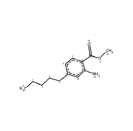 CCCCCc1ccc(C(=O)OC)c(N)c1